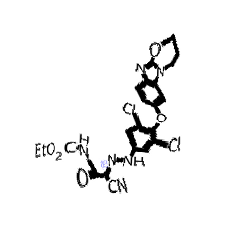 CCOC(=O)NC(=O)/C(C#N)=N/Nc1cc(Cl)c(Oc2ccc3nc4n(c3c2)CCCO4)c(Cl)c1